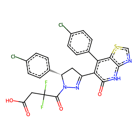 O=C(O)CC(F)(F)C(=O)N1N=C(c2c(-c3ccc(Cl)cc3)c3scnc3[nH]c2=O)C[C@H]1c1ccc(Cl)cc1